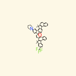 CC1(C)c2cc(C3(c4ccc(N5CCCCC5)cc4)C=Cc4c5c(c6ccccc6c4O3)-c3ccc(C(F)(F)F)cc3C5(C)C)ccc2-c2c1ccc1ccccc21